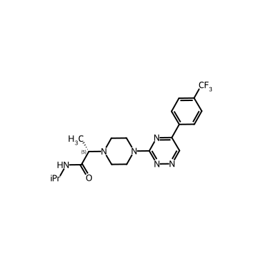 CC(C)NC(=O)[C@H](C)N1CCN(c2nncc(-c3ccc(C(F)(F)F)cc3)n2)CC1